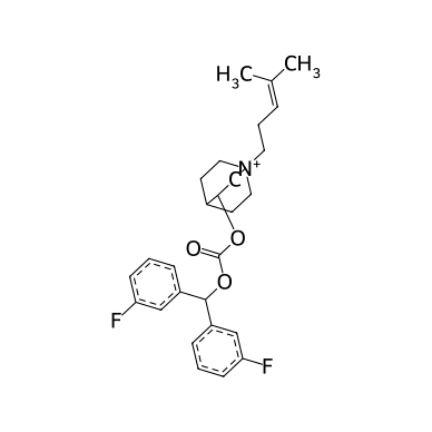 CC(C)=CCC[N+]12CCC(CC1)C(OC(=O)OC(c1cccc(F)c1)c1cccc(F)c1)C2